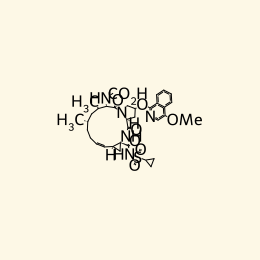 COc1cnc(O[C@@H]2C[C@H]3C(=O)N[C@]4(C(=O)NS(=O)(=O)C5CC5)C[C@H]4/C=C\CC[C@H](C)C[C@@H](C)[C@H](NC(=O)O)C(=O)N3C2)c2ccccc12